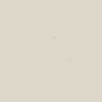 O=C1c2ccccc2C(=O)N1Cc1cccc(CBr)n1